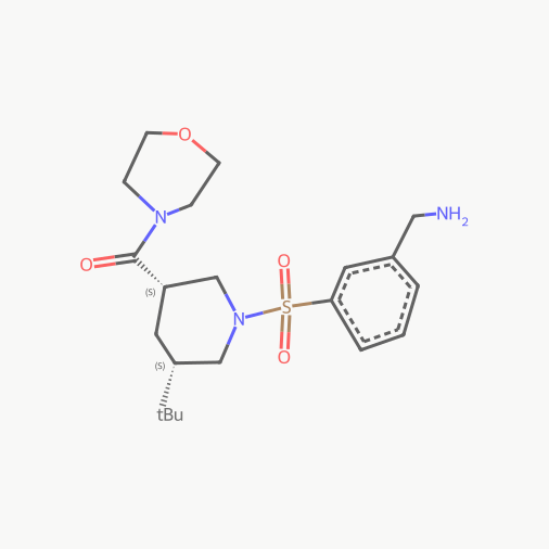 CC(C)(C)[C@@H]1C[C@H](C(=O)N2CCOCC2)CN(S(=O)(=O)c2cccc(CN)c2)C1